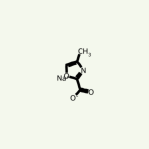 Cc1coc(C(=O)[O-])n1.[Na+]